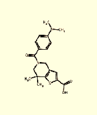 CN(C)c1ccc(C(=O)N2Cc3cc(C(=O)O)sc3C(C)(C)C2)cc1